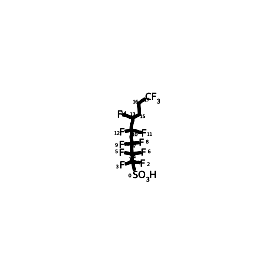 O=S(=O)(O)C(F)(F)C(F)(F)C(F)(F)C(F)(F)C(F)CCC(F)(F)F